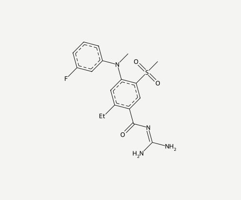 CCc1cc(N(C)c2cccc(F)c2)c(S(C)(=O)=O)cc1C(=O)N=C(N)N